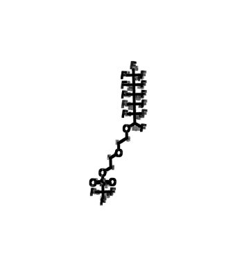 O=S(=O)(OCCOCCOC(F)C(F)(F)C(F)(F)C(F)(F)C(F)(F)C(F)(F)F)C(F)(F)F